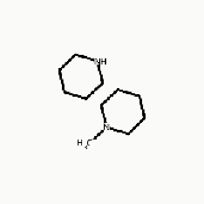 C1CCNCC1.CN1CCCCC1